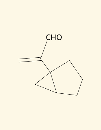 C=C(C=O)C12CCCC1C2